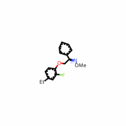 CCc1ccc(OC/C(=N\OC)c2ccccc2)c(F)c1